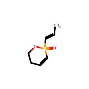 C/C=C/P1(=O)C=CCCO1